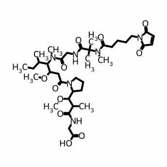 CCC(C)C(C(CC(=O)N1CCCC1C(OC)C(C)C(=O)NCC(=O)O)OC)N(C)C(=O)CNC(=O)C(C)(C)N(C)C(=O)CCCCN1C(=O)C=CC1=O